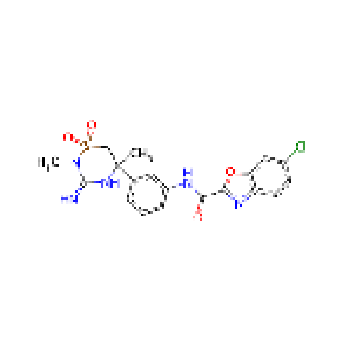 CN1C(=N)NC(C)(c2cccc(NC(=O)c3nc4ccc(Cl)cc4o3)c2)CS1(=O)=O